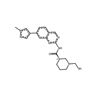 CC(C)CN1CCC[C@@H](C(=O)Nc2ncc3ccc(-c4cnn(C)c4)cc3n2)C1